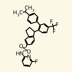 CC(C)c1ccc(-c2cc(C(F)(F)F)ccc2C2CCc3cc(S(=O)(=O)Nc4cccc(F)n4)ccc32)cc1